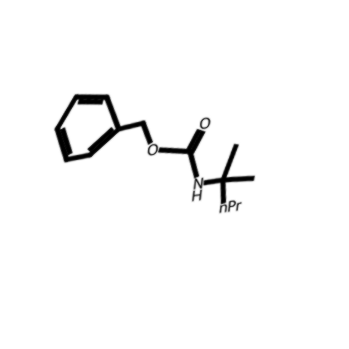 CCCC(C)(C)NC(=O)OCc1ccccc1